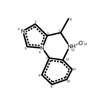 CC1c2cncn2-c2ccccc2[NH+]1[O-]